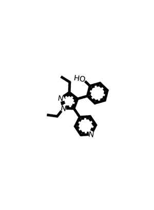 CCc1nn(CC)c(-c2ccncc2)c1-c1ccccc1O